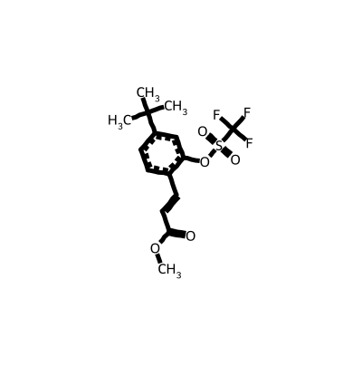 COC(=O)C=Cc1ccc(C(C)(C)C)cc1OS(=O)(=O)C(F)(F)F